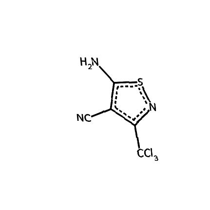 N#Cc1c(C(Cl)(Cl)Cl)nsc1N